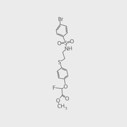 COC(=O)C(F)Oc1ccc(SCCNS(=O)(=O)c2ccc(Br)cc2)cc1